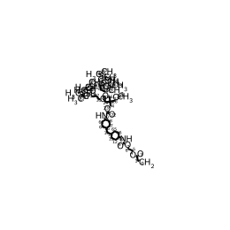 C=CC(=O)OCCOC(=O)NC1CCC(CC2CCC(NC(=O)OCC(COC)(COCCC[Si](C)(O[Si](C)(C)C)O[Si](C)(C)C)COCCC[Si](C)(O[Si](C)(C)C)O[Si](C)(C)C)CC2)CC1